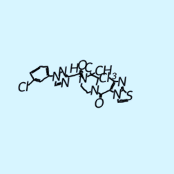 CC1(C)CN(C(=O)c2c(Cl)nc3sccn23)CCN1C(=O)c1ncn(-c2cccc(Cl)c2)n1